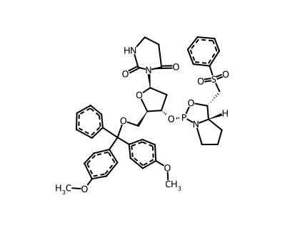 COc1ccc(C(OC[C@H]2O[C@@H](N3C(=O)CCNC3=O)C[C@@H]2O[P@]2O[C@H](CS(=O)(=O)c3ccccc3)[C@@H]3CCCN32)(c2ccccc2)c2ccc(OC)cc2)cc1